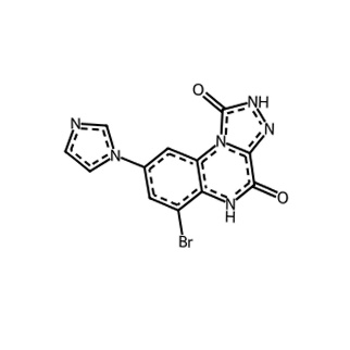 O=c1[nH]c2c(Br)cc(-n3ccnc3)cc2n2c(=O)[nH]nc12